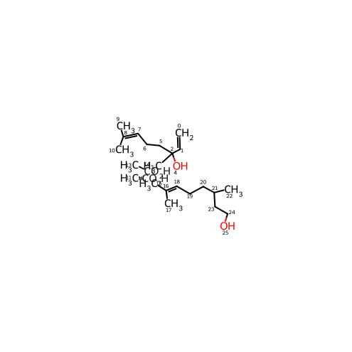 C=CC(C)(O)CCC=C(C)C.CC(=O)O.CC(=O)O.CC(C)=CCCC(C)CCO